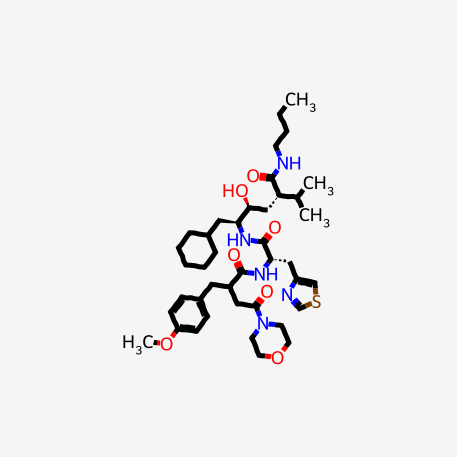 CCCCNC(=O)[C@@H](C[C@H](O)[C@H](CC1CCCCC1)NC(=O)[C@H](Cc1cscn1)NC(=O)C(CC(=O)N1CCOCC1)Cc1ccc(OC)cc1)C(C)C